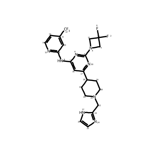 FC1(F)CN(c2nc(Nc3cc(C(F)(F)F)ccn3)cc(C3CCN(Cc4ncc[nH]4)CC3)n2)C1